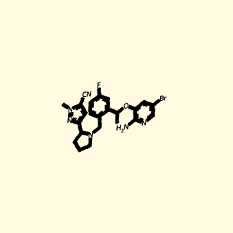 CC(Oc1cc(Br)cnc1N)c1cc(F)ccc1CN1CCCC1c1cc(C#N)n(C)n1